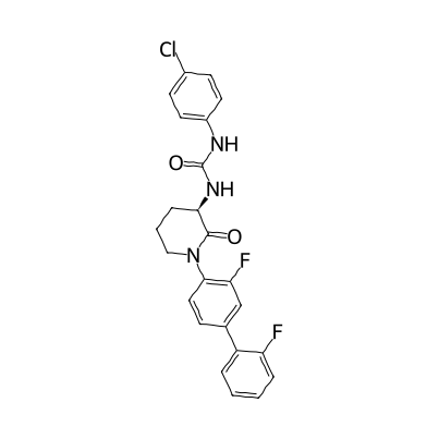 O=C(Nc1ccc(Cl)cc1)N[C@@H]1CCCN(c2ccc(-c3ccccc3F)cc2F)C1=O